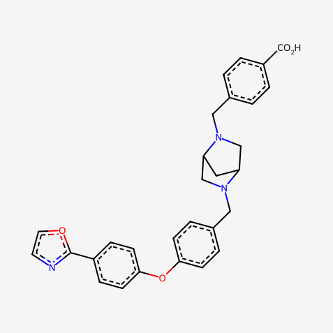 O=C(O)c1ccc(CN2CC3CC2CN3Cc2ccc(Oc3ccc(-c4ncco4)cc3)cc2)cc1